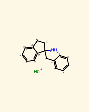 Cl.NC1(Cc2ccccc2)CCc2ccccc21